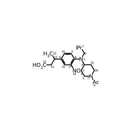 CC(=O)N1CCC(N(CC(C)C)c2ccc(C(C)CC(=O)O)cc2[N+](=O)[O-])CC1